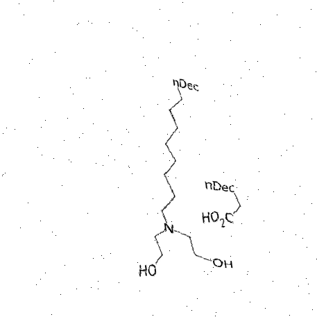 CCCCCCCCCCCC(=O)O.CCCCCCCCCCCCCCCCCCN(CCO)CCO